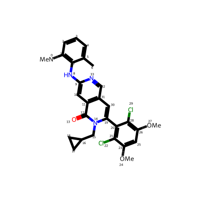 CNc1cccc(C)c1Nc1cc2c(=O)n(CC3CC3)c(-c3c(Cl)c(OC)cc(OC)c3Cl)cc2cn1